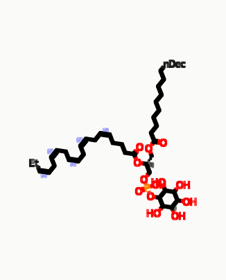 CC/C=C\C/C=C\C/C=C\C/C=C\C/C=C\CCCC(=O)O[C@H](COC(=O)CCCCCCCCCCCCCCCCCCC)COP(=O)(O)OC1C(O)C(O)C(O)[C@@H](O)C1O